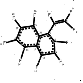 FC(F)=C(F)c1c(F)c(F)c(F)c2c(F)c(F)c(F)c(F)c12